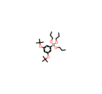 CCCO[Si](OCCC)(OCCC)c1cc(OC(C)(C)C)cc(OC(C)(C)C)c1